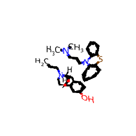 C=CCN1CC[C@]23CCCC[C@H]2[C@H]1Cc1ccc(O)cc13.CN(C)CCCN1c2ccccc2Sc2ccccc21